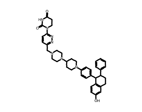 O=C1CCN(c2ccc(CN3CCN(C4CCN(c5ccc(C6c7ccc(O)cc7CCC6c6ccccc6)cc5)CC4)CC3)nn2)C(=O)N1